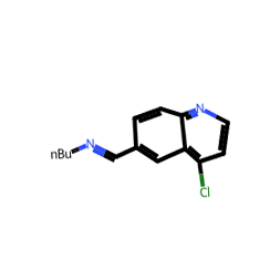 CCCC/N=C/c1ccc2nccc(Cl)c2c1